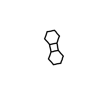 C1CCC2C(C1)C1CCCCC21